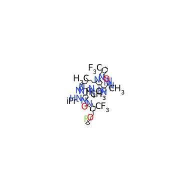 CC(C)CNc1cc(-c2c(-c3nncn3CCC(C)CCc3cc(-c4c(-c5nncn5C)cnn4C)cc(N4Cc5c(cccc5C(F)(F)F)C4=O)n3)cnn2C)cc(N2Cc3c(cc(COCC4(F)CCC4)cc3C(F)(F)F)C2=O)n1